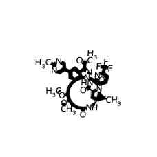 COC1CCC(=O)NC[C@@]23C[C@@H](C(=O)Nc4cccc(C(F)(F)F)n4)N(C(=O)Cn4nc(C(C)=O)c5cc(-c6cnc(C)nc6)cc(c54)CCC1OC)C2[C@@H]3C